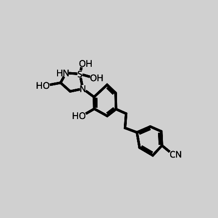 N#Cc1ccc(CCc2ccc(N3CC(O)NS3(O)O)c(O)c2)cc1